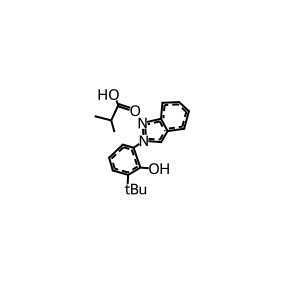 CC(C)(C)c1cccc(-n2cc3ccccc3n2)c1O.CC(C)C(=O)O